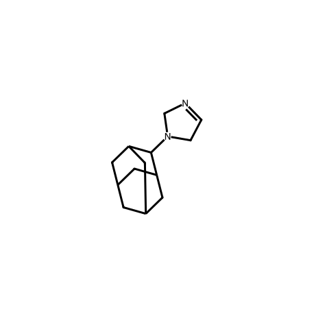 C1=NCN(C2C3CC4CC(C3)CC2C4)C1